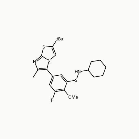 COc1c(F)cc(-c2c(C)nc3sc(C(C)(C)C)cn23)cc1SNC1CCCCC1